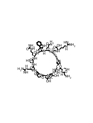 C[C@@H](O)[C@@H]1NC(=O)[C@@H](NC(=O)[C@H](CS)NC(=O)CN)Cc2cn(nn2)CCC[C@@H](C(=O)N[C@H](CCCCNC(=N)N)C(=O)O)NC(=O)[C@H](CCC(N)=O)NC(=O)[C@H](Cc2c[nH]c3ccccc23)NC(=O)[C@H](CCCNC(N)=O)NC(=O)[C@H](CS)NC(=O)[C@H](CCCNC(=N)N)NC(=O)[C@@H]2CCCN2C(=O)[C@H](CC(=O)O)NC1=O